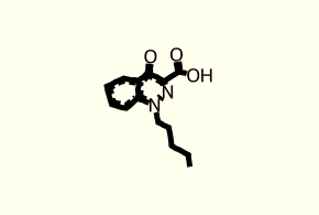 CCCCCn1nc(C(=O)O)c(=O)c2ccccc21